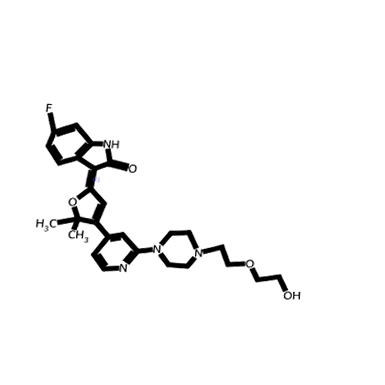 CC1(C)O/C(=C2/C(=O)Nc3cc(F)ccc32)C=C1c1ccnc(N2CCN(CCOCCO)CC2)c1